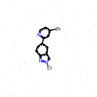 CCn1cc2cc(-c3cc(C(C)C)ccn3)ccc2n1